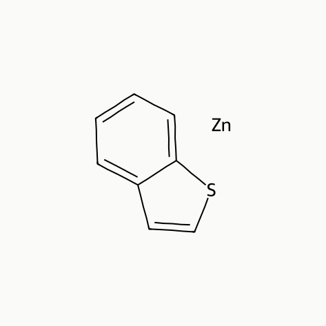 [Zn].c1ccc2sccc2c1